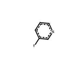 Fc1c[c][c]nc1